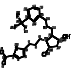 O=C(O)c1ccc(CCC[C@@H]2[C@@H](CCCc3cccc(C(F)(F)F)c3)[C@H](O)C[C@H]2Cl)s1